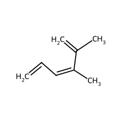 C=CC=C(C)C(=C)C